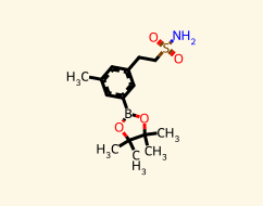 Cc1cc(CCS(N)(=O)=O)cc(B2OC(C)(C)C(C)(C)O2)c1